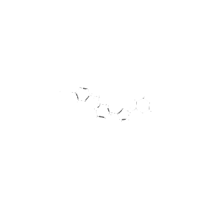 O=C(O)c1ccc(Nc2nccc(-c3cn(C4CCCCC4)nn3)n2)cc1